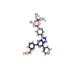 CC(C)(C)OC(=O)N1CCC(n2cnc3c(C4=CCOCC4)nc(-c4cccc(CO)c4)nc32)CC1